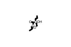 CC=COC(=O)OC=CC.OCCO